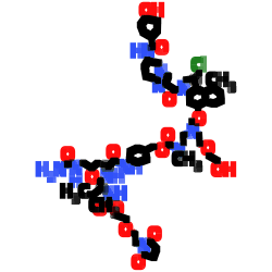 Cc1cccc2c(OCN(CCOCCO)CCN(C)C(=O)OCc3ccc(NC(=O)[C@H](CCCNC(N)=O)NC(=O)[C@@H](NC(=O)OCCOCCN4C(=O)C=CC4=O)C(C)C)cc3)cc3c(c12)[C@H](CCl)CN3C(=O)c1cn2cc(NC(=O)c3ccc(O)cc3)ccc2n1